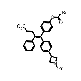 CC(C)N1CC(c2ccc(/C(=C(/CCC(=O)O)c3ccccc3)c3ccc(OC(=O)C(C)(C)C)cc3)cc2)C1